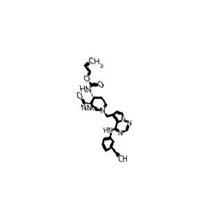 C#Cc1cccc(Nc2ncnn3ccc(CN4CC[C@@H](NC(=O)OCC=C)[C@H](C(=O)NC)C4)c23)c1